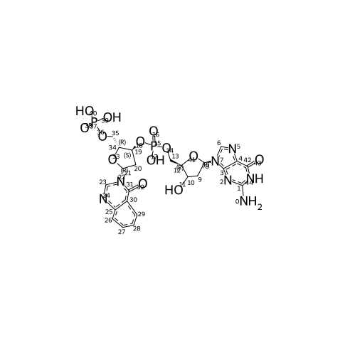 Nc1nc2c(ncn2[C@H]2CC(O)[C@@H](COP(=O)(O)O[C@H]3C[C@H](n4cnc5ccccc5c4=O)O[C@@H]3COP(=O)(O)O)O2)c(=O)[nH]1